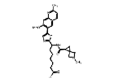 CCC(=O)CCCCCC(NC(=O)C1CC12CN(C)C2)c1ncc(-c2cc3ccc(C)nc3cc2OC)o1